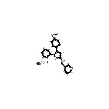 Br.Br.COc1ccc(-c2nc(=NCc3cccnc3)sn2-c2ccccc2)cc1